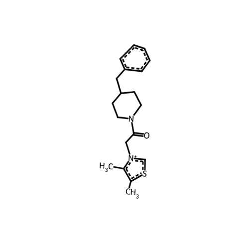 Cc1sc[n+](CC(=O)N2CCC(Cc3ccccc3)CC2)c1C